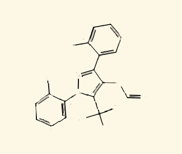 O=COc1c(-c2ccccc2Cl)nn(-c2ccccc2Cl)c1C(F)(F)F